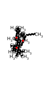 CCCCCCCCN(CCCCCCCC)C(=O)C(F)(F)S(=O)(=O)OCC1(COCC(=O)N(C)Cc2c(OC)cc(OC)c3c2OC(c2cc(OC)c(OC)c(OC)c2)C(OC(=O)c2cc(COC)c(COC)c(COC)c2)C3)COC(C)(C)OC1